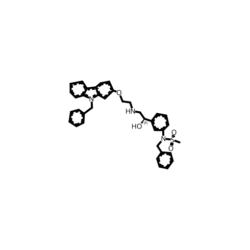 CS(=O)(=O)N(Cc1ccccc1)c1cccc([C@@H](O)CNCCOc2ccc3c4ccccc4n(Cc4ccccc4)c3c2)c1